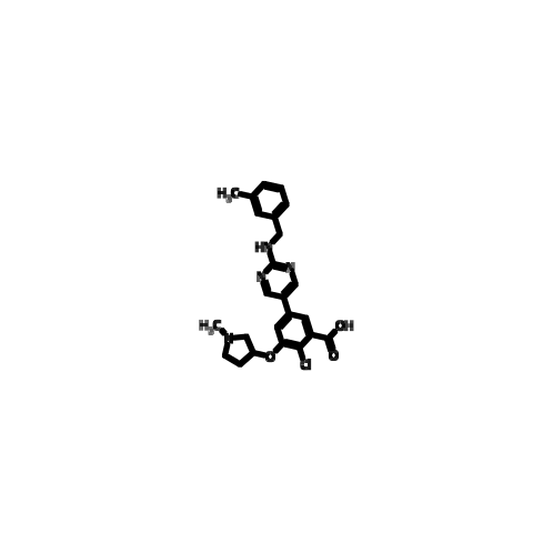 Cc1cccc(CNc2ncc(-c3cc(OC4CCN(C)C4)c(Cl)c(C(=O)O)c3)cn2)c1